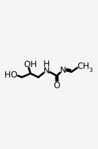 CC=NC(=O)NCC(O)CO